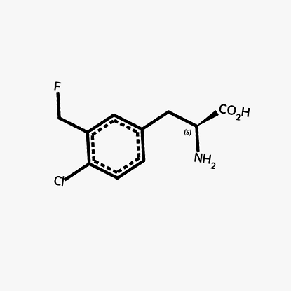 N[C@@H](Cc1ccc(Cl)c(CF)c1)C(=O)O